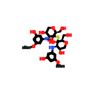 CCCCCCCCCOc1cc(O)cc(N[C@H]2[C@@H](O)CO[C@H](CO)[C@]2(O)S[C@@]2(O)[C@@H](CO)OC[C@H](O)[C@@H]2Nc2cc(O)cc(OCCCCCCCCC)c2)c1